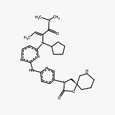 C/C=C(/C(=O)N(C)C)N(c1ccnc(Nc2ccc(N3C[C@@]4(CCCNC4)OC3=O)cn2)n1)C1CCCC1